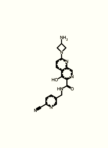 N#Cc1ccc(CNC(=O)c2ncc3nc(N4CC(N)C4)ccc3c2O)cn1